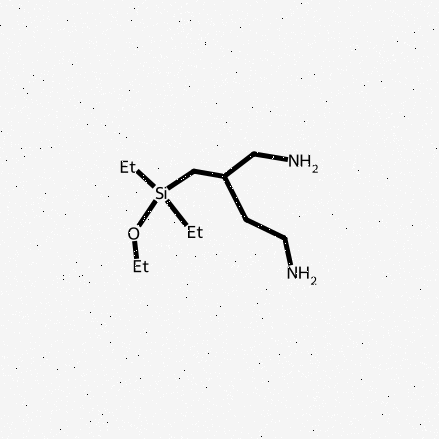 CCO[Si](CC)(CC)CC(CN)CCN